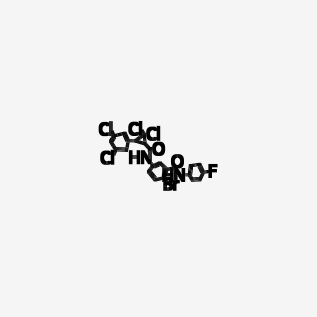 O=C(Nc1ccc(F)cc1)c1cc(NC(=O)C2C(c3cc(Cl)cc(Cl)c3)C2(Cl)Cl)ccc1Br